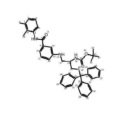 Cc1cccc(NC(=O)c2cccc(NC[C@H](CSC(c3ccccc3)(c3ccccc3)c3ccccc3)NC(=O)OC(C)(C)C)c2)c1C